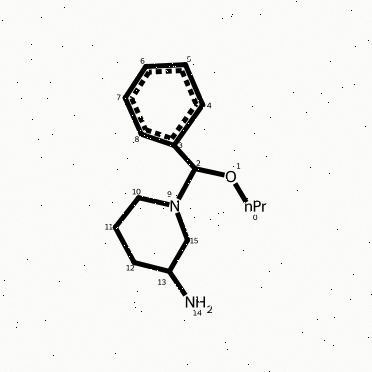 CCCOC(c1ccccc1)N1CCCC(N)C1